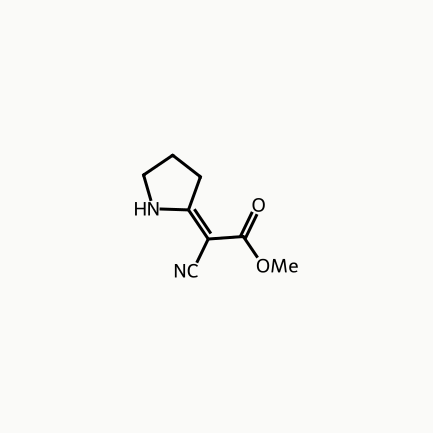 COC(=O)C(C#N)=C1CCCN1